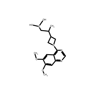 COc1cc2ncnc(N3CC(C(C)CB(O)O)C3)c2cc1OC